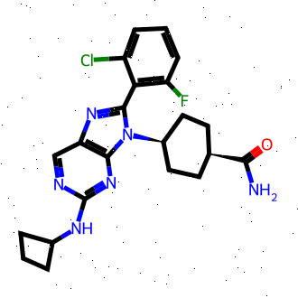 NC(=O)[C@H]1CC[C@@H](n2c(-c3c(F)cccc3Cl)nc3cnc(NC4CCC4)nc32)CC1